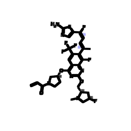 C=CC(=O)N1CC[C@@H](Oc2nc(OC[C@@H]3C[C@@H](F)CN3C)nc3c(F)c(/C(C)=C/C=C(/F)c4cnc(N)s4)c(C(F)(F)F)cc23)C1